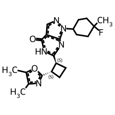 Cc1nc([C@H]2CC[C@@H]2c2nc3c(cnn3C3CCC(C)(F)CC3)c(=O)[nH]2)oc1C